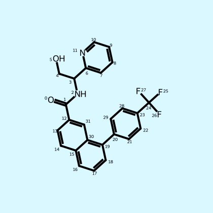 O=C(NC(CO)c1ccccn1)c1ccc2cccc(-c3ccc(C(F)(F)F)cc3)c2c1